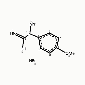 Br.CCCN(C(=N)S)c1ccc(OC)cc1